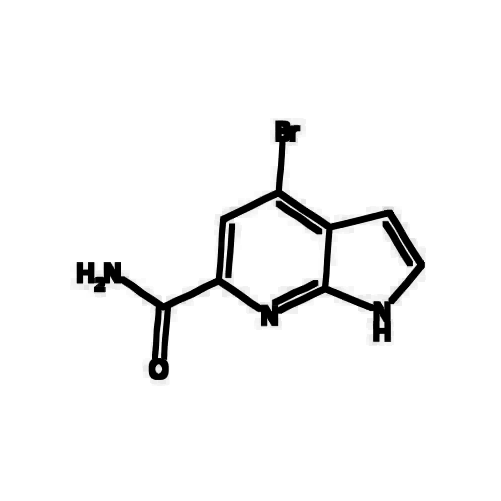 NC(=O)c1cc(Br)c2cc[nH]c2n1